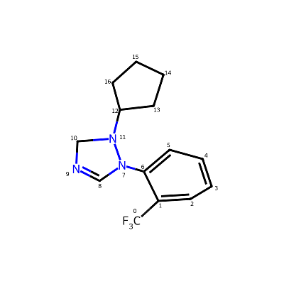 FC(F)(F)c1ccccc1N1C=NCN1C1CCCC1